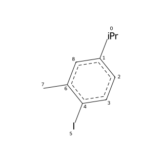 [CH2]C(C)c1ccc(I)c(C)c1